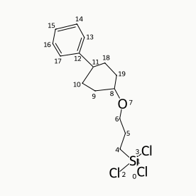 Cl[Si](Cl)(Cl)CCCOC1CCC(c2ccccc2)CC1